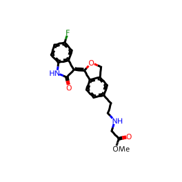 COC(=O)CNCCc1ccc2c(c1)COC2=C1C(=O)Nc2ccc(F)cc21